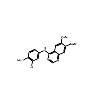 COc1ccc(Nc2ncnc3cc(OC)c(OC)cc23)cc1Br